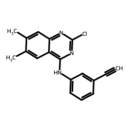 C#Cc1cccc(Nc2nc(Cl)nc3cc(C)c(C)cc23)c1